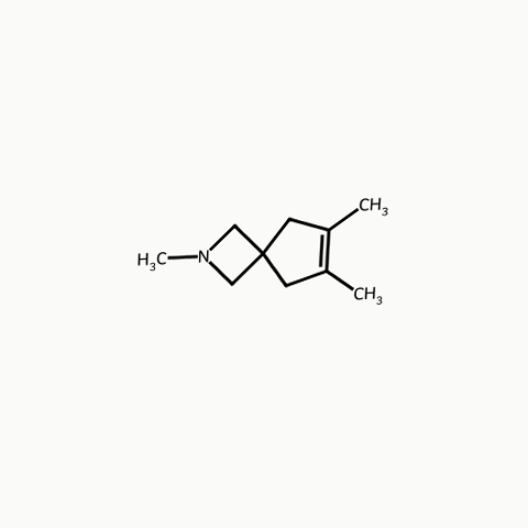 CC1=C(C)CC2(C1)CN(C)C2